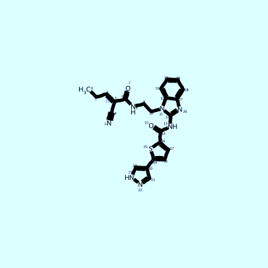 CC/C=C(\C#N)C(=O)NCCn1c(NC(=O)c2ccc(-c3cn[nH]c3)s2)nc2ccccc21